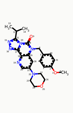 COc1ccc(Cn2c(=O)n3c(C(C)C)nnc3c3ncc(N4CCOCC4)cc32)cc1